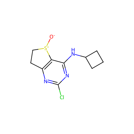 [O-][S+]1CCc2nc(Cl)nc(NC3CCC3)c21